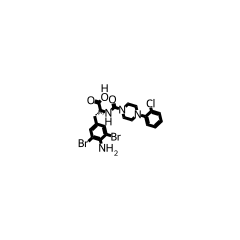 Nc1c(Br)cc(C[C@@H](NC(=O)N2CCN(c3ccccc3Cl)CC2)C(=O)O)cc1Br